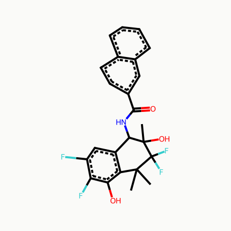 CC1(C)c2c(cc(F)c(F)c2O)C(NC(=O)c2ccc3ccccc3c2)C(C)(O)C1(F)F